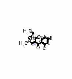 CCOC(=O)/C(=C\N(C)C)C(=O)c1ccc(F)cc1Cl